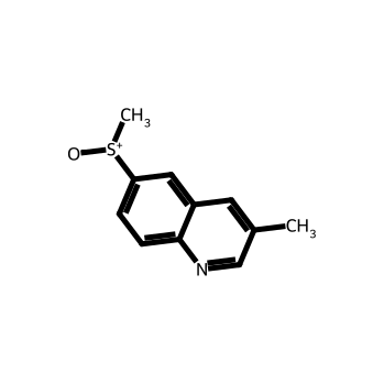 Cc1cnc2ccc([S+](C)[O-])cc2c1